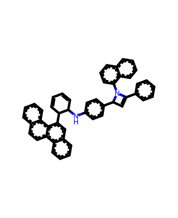 C1=CC(Nc2ccc(C3C=C(c4ccccc4)N3c3cccc4ccccc34)cc2)C(c2cc3ccccc3c3ccc4ccccc4c23)C=C1